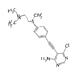 CN(C)CCN(C)c1ccc(C#Cc2c(N)ncnc2Cl)cc1